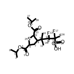 CC(C)OC(=O)C1CC(C(C)(C)C(F)(F)C(F)(F)S(=O)(=O)O)C(C(=O)OC(C)C)S1